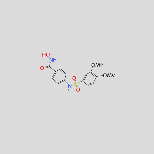 COc1ccc(S(=O)(=O)N(C)c2ccc(C(=O)NO)cc2)cc1OC